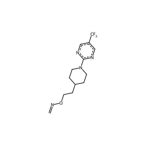 C=NOCCC1CCN(c2ncc(C(F)(F)F)cn2)CC1